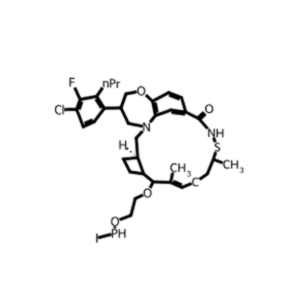 CCCc1c(C2COc3ccc4cc3N(C2)C[C@@H]2CCC2C(OCCOPI)/C(C)=C/CCC(C)SNC4=O)ccc(Cl)c1F